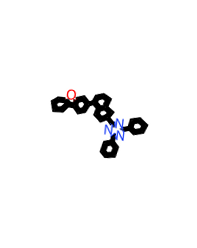 c1ccc(-c2nc(-c3ccccc3)nc(-c3ccc4c(-c5ccc6c(c5)oc5ccccc56)cccc4c3)n2)cc1